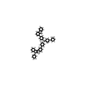 c1ccc(-c2ccc(N(c3ccc(-c4ccc5oc6c(c5c4)c4ccccc4n6-c4ccccc4)cc3)c3ccc(-c4cccc5c4sc4ccccc45)cc3)cc2)cc1